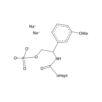 CCCCCCCC(=O)NC(COP(=O)([O-])[O-])c1cccc(OC)c1.[Na+].[Na+]